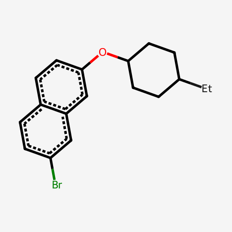 CCC1CCC(Oc2ccc3ccc(Br)cc3c2)CC1